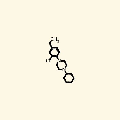 CCc1ccc(N2CCN(C3CCCCC3)CC2)c(Cl)c1